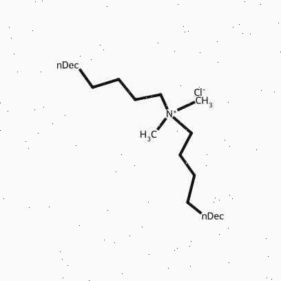 CCCCCCCCCCCCCC[N+](C)(C)CCCCCCCCCCCCCC.[Cl-]